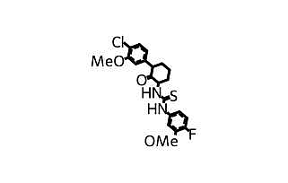 COc1cc(NC(=S)NC2CCCC(c3ccc(Cl)c(OC)c3)C2=O)ccc1F